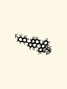 Fc1ccc2cc(-c3ccc4ccc5c(-c6c7ccccc7c(C(F)(F)C(F)(F)F)c7ccccc67)ccc6ccc3c4c65)ccc2c1